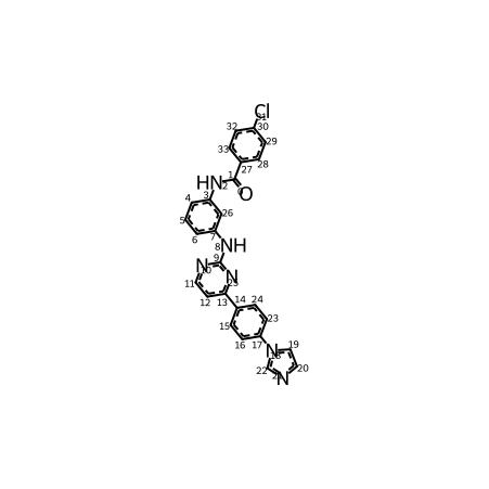 O=C(Nc1cccc(Nc2nccc(-c3ccc(-n4ccnc4)cc3)n2)c1)c1ccc(Cl)cc1